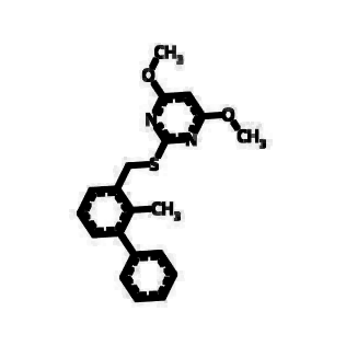 COc1cc(OC)nc(SCc2cccc(-c3ccccc3)c2C)n1